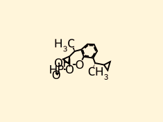 C[C@H](c1cccc([C@H](C)C2CC2)c1OCO[PH](=O)O)C1CC1